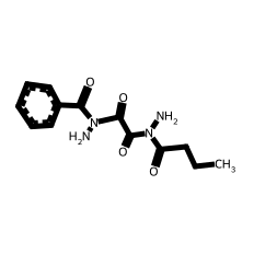 CCCC(=O)N(N)C(=O)C(=O)N(N)C(=O)c1ccccc1